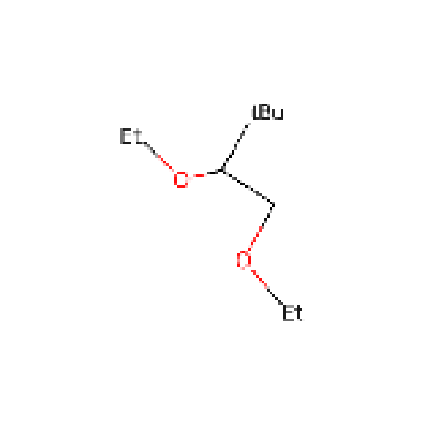 CCOCC(OCC)C(C)(C)C